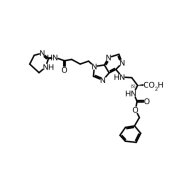 O=C(CCCn1cnc2c(NC[C@H](NC(=O)OCc3ccccc3)C(=O)O)ncnc21)NC1=NCCCN1